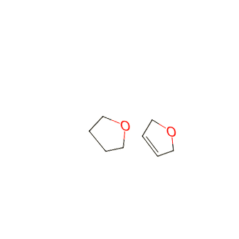 C1=CCOC1.C1CCOC1